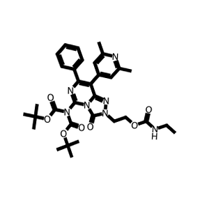 CCNC(=O)OCCn1nc2c(-c3cc(C)nc(C)c3)c(-c3ccccc3)nc(N(C(=O)OC(C)(C)C)C(=O)OC(C)(C)C)n2c1=O